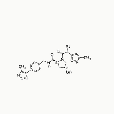 CCC(C(=O)N1C[C@H](O)C[C@H]1C(=O)NCc1ccc(-c2ocnc2C)cc1)c1cc(C)no1